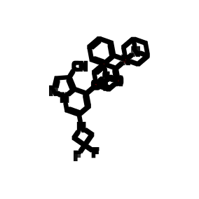 CS(=O)(=O)c1ccccc1CN1C2CC1CN(c1ccc(-c3cc(N4CC(F)(F)C4)cn4ncc(C#N)c34)cn1)C2